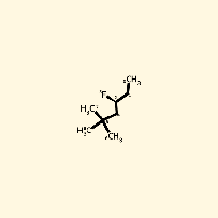 CC[C@H](F)CC(C)(C)C